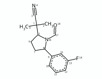 CC(C)(C#N)C1CCC(c2cccc(F)c2)N1C=O